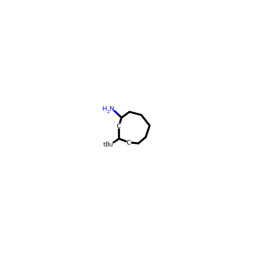 CC(C)(C)C1CCCCCCC(N)C1